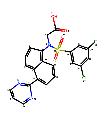 O=C(O)CN(c1cccc2c(-c3ncccn3)cccc12)S(=O)(=O)c1cc(Cl)cc(Cl)c1